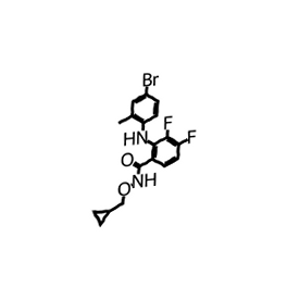 Cc1cc(Br)ccc1Nc1c(C(=O)NOCC2CC2)ccc(F)c1F